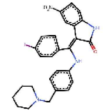 O=C1Nc2ccc([N+](=O)[O-])cc2C1=C(Nc1ccc(CN2CCCCC2)cc1)c1ccc(I)cc1